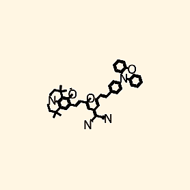 COc1c(/C=C/C2=CC(=C(C#N)C#N)C=C(/C=C/c3ccc(N4c5ccccc5Oc5ccccc54)cc3)O2)cc2c3c1C(C)(C)CCN3CCC2(C)C